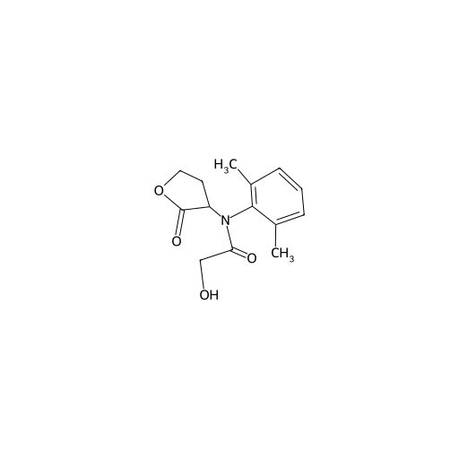 Cc1cccc(C)c1N(C(=O)CO)C1CCOC1=O